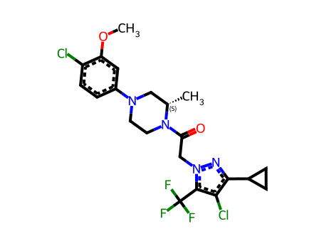 COc1cc(N2CCN(C(=O)Cn3nc(C4CC4)c(Cl)c3C(F)(F)F)[C@@H](C)C2)ccc1Cl